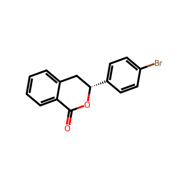 O=C1O[C@@H](c2ccc(Br)cc2)Cc2ccccc21